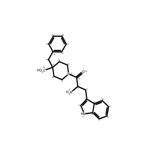 NC(Cc1c[nH]c2ccccc12)C(=O)N1CCC(Cc2ccccc2)(C(=O)O)CC1